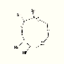 BrC1CCCCCCC(Br)C(Br)CCC1Br